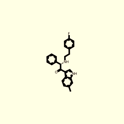 Cc1ccc2c(C(=O)[C@@H](NCCc3ccc(F)cc3)c3ccccc3)c[nH]c2c1